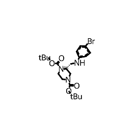 CC(C)(C)OC(=O)N1CCN(C(=O)OC(C)(C)C)[C@H](CNc2ccc(Br)cc2)C1